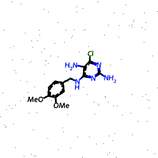 COc1ccc(CNc2nc(N)nc(Cl)c2N)cc1OC